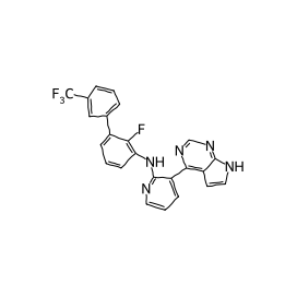 Fc1c(Nc2ncccc2-c2ncnc3[nH]ccc23)cccc1-c1cccc(C(F)(F)F)c1